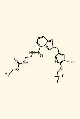 CCOC(=O)NCCNC(=O)c1nccc2nn(Cc3cnc(OCC(F)(F)F)c(C)c3)cc12